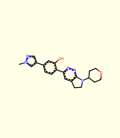 Cn1cc(-c2ccc(-c3cc4c(nn3)N(C3CCOCC3)CC4)c(O)c2)cn1